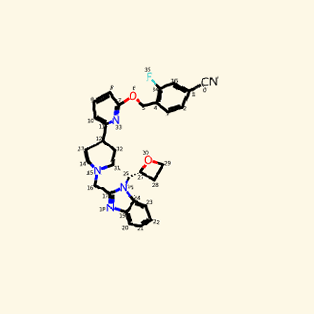 N#Cc1ccc(COc2cccc(C3CCN(Cc4nc5ccccc5n4C[C@H]4CCO4)CC3)n2)c(F)c1